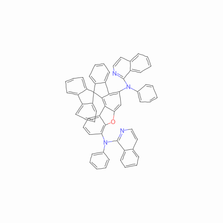 c1ccc(N(c2cc3oc4c(N(c5ccccc5)c5nccc6ccccc56)cccc4c3c3c2-c2ccccc2C32c3ccccc3-c3ccccc32)c2nccc3ccccc23)cc1